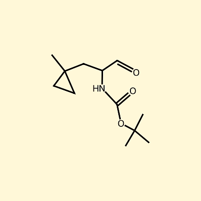 CC1(CC(C=O)NC(=O)OC(C)(C)C)CC1